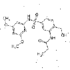 CCC(=O)Nc1cc(S(=O)(=O)Nc2cc(OC)nc(OC)n2)ccc1CO